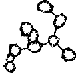 c1ccc(-c2nc(-c3cccc(-c4ccccn4)c3)cc(-c3ccc(-c4ccc5sc6ccccc6c5c4)c4c3oc3ccccc34)n2)cc1